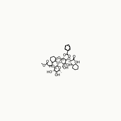 COC(=O)CC[C@H]1CCC[C@@H](O[C@H]2O[C@H](CO)[C@H](O)[C@H](O[C@@H](CC3CCCCC3)C(=O)O)[C@H]2OC(=O)c2ccccc2)[C@H]1O[C@@H]1O[C@H](C)[C@H](O)[C@H](O)[C@H]1O